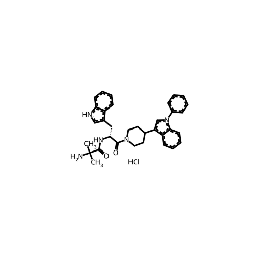 CC(C)(N)C(=O)N[C@H](Cc1c[nH]c2ccccc12)C(=O)N1CCC(c2cn(-c3ccccc3)c3ccccc23)CC1.Cl